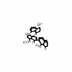 O=C([O-])c1cccc2cccc(Cl)c12.O=C([O-])c1cccc2cccc(Cl)c12.O=C([O-])c1cccc2cccc(Cl)c12.[Ga+3]